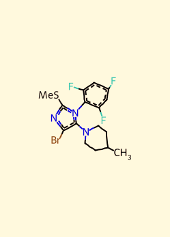 CSc1nc(Br)c(N2CCC(C)CC2)n1-c1c(F)cc(F)cc1F